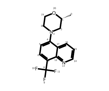 C[C@@H]1CN(c2ccc(C(F)(F)F)c3ncccc23)CCO1